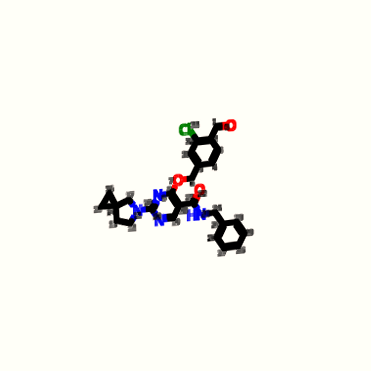 O=Cc1ccc(COc2nc(N3CCC4(CC4)C3)ncc2C(=O)NCc2ccccc2)cc1Cl